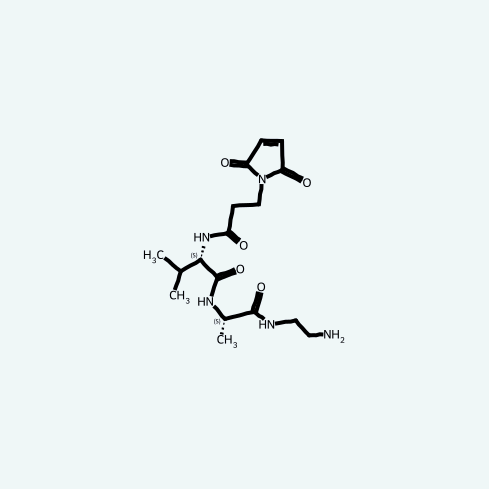 CC(C)[C@H](NC(=O)CCN1C(=O)C=CC1=O)C(=O)N[C@@H](C)C(=O)NCCN